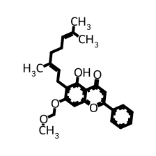 COCOc1cc2oc(-c3ccccc3)cc(=O)c2c(O)c1C/C=C(\C)CCC=C(C)C